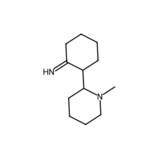 CN1CCCCC1C1CCCCC1=N